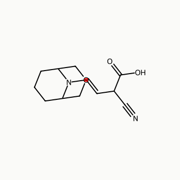 N#CC(/C=C/N1C2CCCC1COC2)C(=O)O